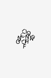 Cc1cc(F)cc(C(=O)N(C)[C@H](CCNC(=O)c2cccn2C)Cc2ccccc2)c1